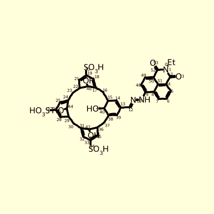 CCN1C(=O)c2cccc3c(N/N=C/C4=CC5CC6=CC(S(=O)(=O)O)=CC(CC7=CC(S(=O)(=O)O)=CC(CC8=CC(S(=O)(=O)O)=CC(CC(=C4)C5O)C8O)C7O)C6O)ccc(c23)C1=O